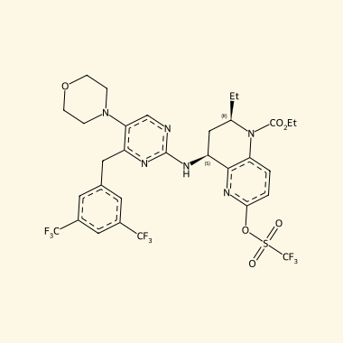 CCOC(=O)N1c2ccc(OS(=O)(=O)C(F)(F)F)nc2[C@@H](Nc2ncc(N3CCOCC3)c(Cc3cc(C(F)(F)F)cc(C(F)(F)F)c3)n2)C[C@H]1CC